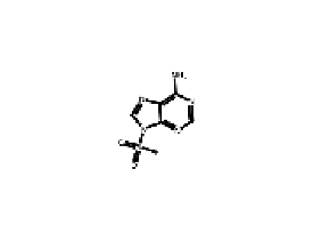 Nc1ncnc2c1ncn2S(=O)(=O)F